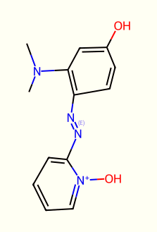 CN(C)c1cc(O)ccc1/N=N/c1cccc[n+]1O